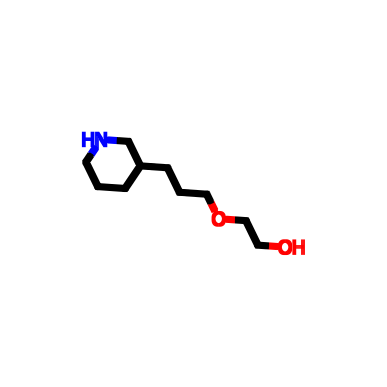 OCCOCCCC1CCCNC1